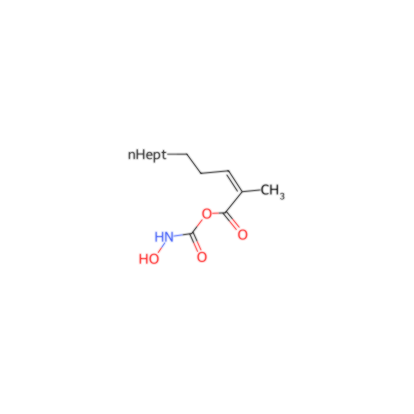 CCCCCCCCCC=C(C)C(=O)OC(=O)NO